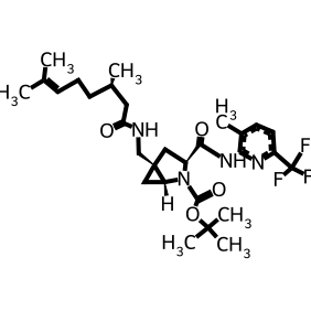 CC(C)=CCC[C@@H](C)CC(=O)NC[C@@]12C[C@@H](C(=O)Nc3nc(C(F)(F)F)ccc3C)N(C(=O)OC(C)(C)C)[C@@H]1C2